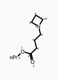 CCCOC(=O)CCCN1CCC1